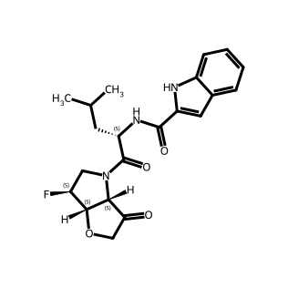 CC(C)C[C@H](NC(=O)c1cc2ccccc2[nH]1)C(=O)N1C[C@H](F)[C@H]2OCC(=O)[C@H]21